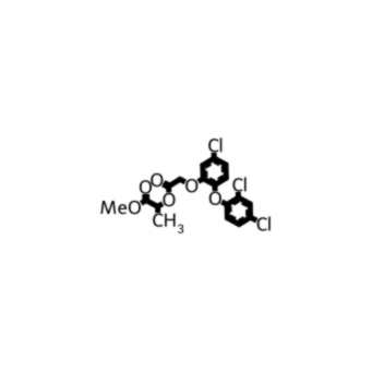 COC(=O)C(C)OC(=O)COc1cc(Cl)ccc1Oc1ccc(Cl)cc1Cl